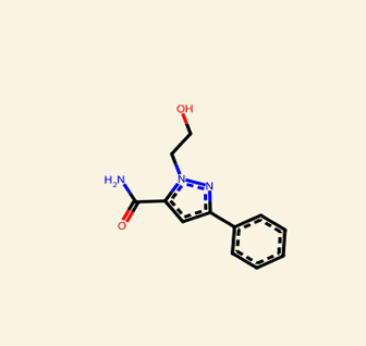 NC(=O)c1cc(-c2ccccc2)nn1CCO